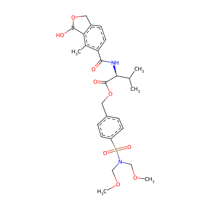 COCN(COC)S(=O)(=O)c1ccc(COC(=O)[C@@H](NC(=O)c2ccc3c(c2C)B(O)OC3)C(C)C)cc1